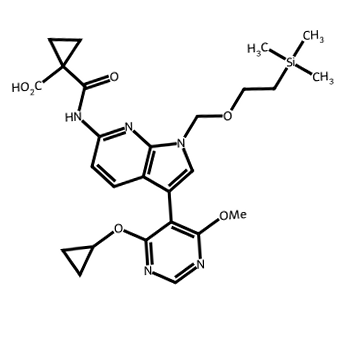 COc1ncnc(OC2CC2)c1-c1cn(COCC[Si](C)(C)C)c2nc(NC(=O)C3(C(=O)O)CC3)ccc12